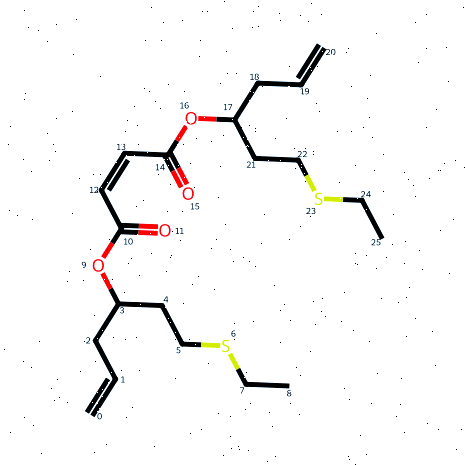 C=CCC(CCSCC)OC(=O)/C=C\C(=O)OC(CC=C)CCSCC